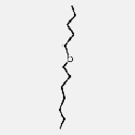 CCCC[CH]OCCCCCCC